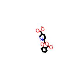 COC(=O)c1ccc(COc2ccccc2C(=O)OC)nc1